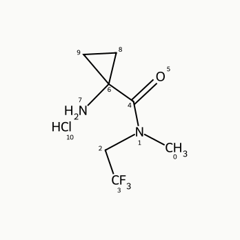 CN(CC(F)(F)F)C(=O)C1(N)CC1.Cl